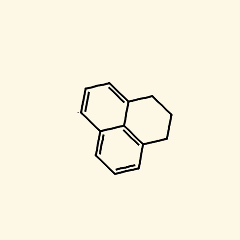 [c]1ccc2c3c(cccc13)CCC2